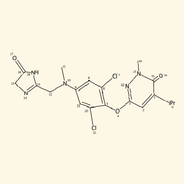 CC(C)c1cc(Oc2c(Cl)cc(N(C)CC3=NCC(=O)N3)cc2Cl)nn(C)c1=O